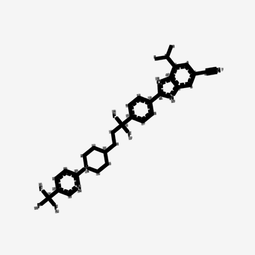 CC(C)c1cc(C#N)cc2nc(-c3ccc(C(F)(F)CCC4CCN(c5ccc(C(F)(F)F)cn5)CC4)cc3)oc12